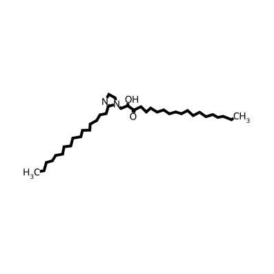 CCCCCCCCCCCCCCCCCC(=O)C(O)CN1CCN=C1CCCCCCCCCCCCCCCC